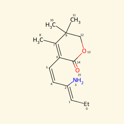 CC/C=C(N)/C=C\C1=C(C)C(C)(C)COC1=O